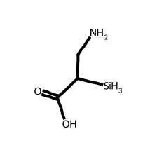 NCC([SiH3])C(=O)O